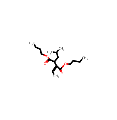 CC=C(C(=O)OCCCC)C(CC(C)C)C(=O)OCCCC